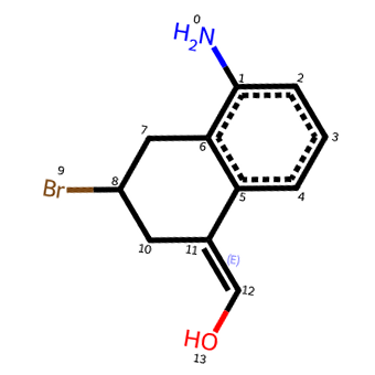 Nc1cccc2c1CC(Br)C/C2=C\O